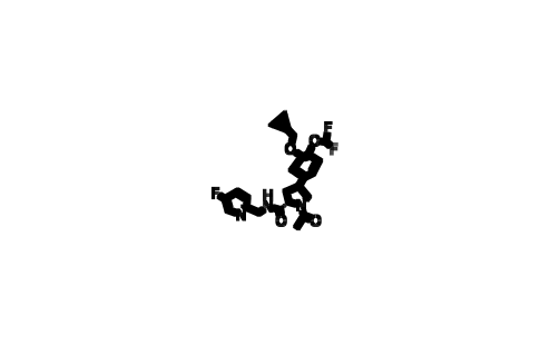 CC(=O)N1CC(c2ccc(OC(F)F)c(OCC3CC3)c2)C[C@H]1C(=O)NCc1ccc(F)cn1